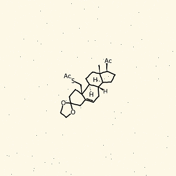 CC(=O)SC[C@]12CCC3(CC1=CC[C@@H]1[C@@H]2CC[C@]2(C)[C@@H](C(C)=O)CC[C@@H]12)OCCO3